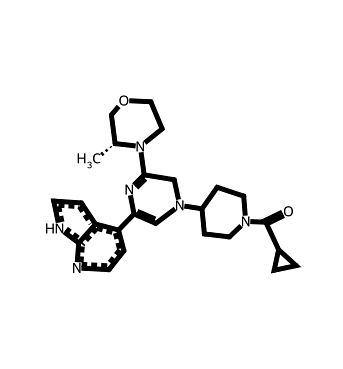 C[C@@H]1COCCN1C1=NC(c2ccnc3[nH]ccc23)=CN(C2CCN(C(=O)C3CC3)CC2)C1